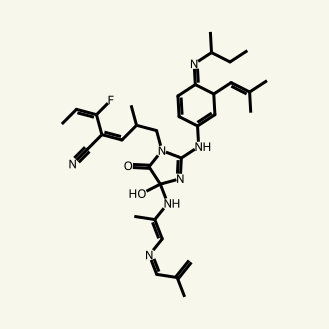 C=C(C)/C=N\C=C(/C)NC1(O)N=C(NC2=CC(C=C(C)C)/C(=N\C(C)CC)C=C2)N(CC(C)/C=C(C#N)\C(F)=C/C)C1=O